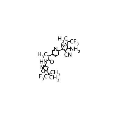 CC(C(=O)Nc1cc(C(C)(C)C(F)(F)F)on1)c1ccc(-c2nn(C(C)C(F)(F)F)c(N)c2C#N)nc1